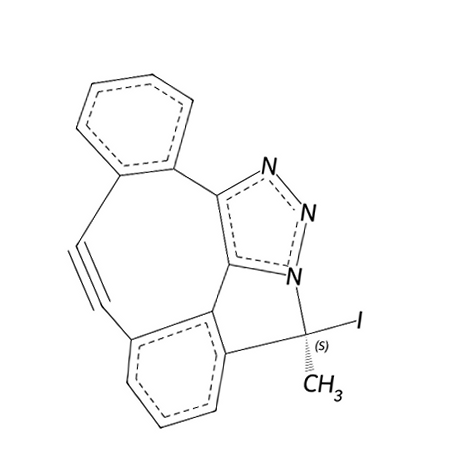 C[C@]1(I)c2cccc3c2-c2c(nnn21)-c1ccccc1C#C3